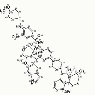 CC(C)c1ccccc1[C@@H]1CCCC(C)(C)N1C1CC2(CCN(c3ccc(C(=O)NS(=O)(=O)c4ccc(NC[C@H]5CC[C@](C)(O)CC5)c([N+](=O)[O-])c4)c(N4c5cc6cc[nH]c6nc5O[C@H]5COCC[C@@H]54)c3)CC2)C1